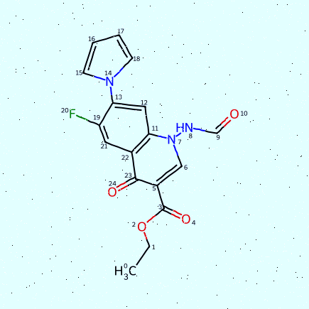 CCOC(=O)c1cn(NC=O)c2cc(-n3cccc3)c(F)cc2c1=O